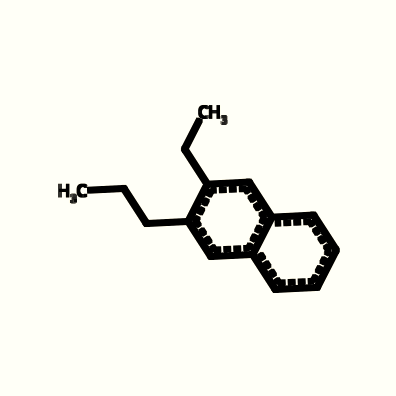 CCCc1cc2ccccc2cc1CC